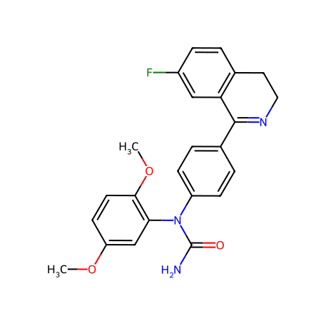 COc1ccc(OC)c(N(C(N)=O)c2ccc(C3=NCCc4ccc(F)cc43)cc2)c1